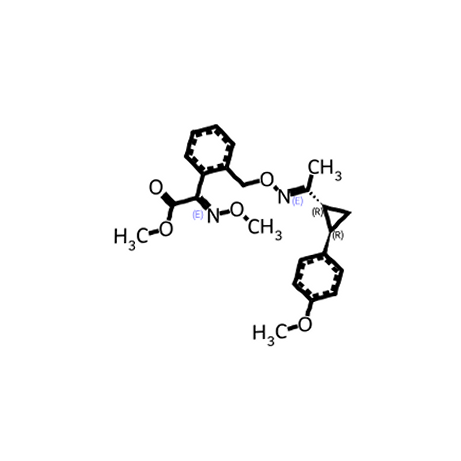 CO/N=C(/C(=O)OC)c1ccccc1CO/N=C(\C)[C@@H]1C[C@H]1c1ccc(OC)cc1